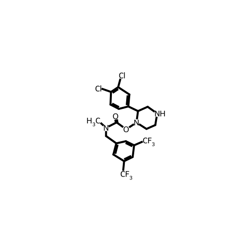 CN(Cc1cc(C(F)(F)F)cc(C(F)(F)F)c1)C(=O)ON1CCNCC1c1ccc(Cl)c(Cl)c1